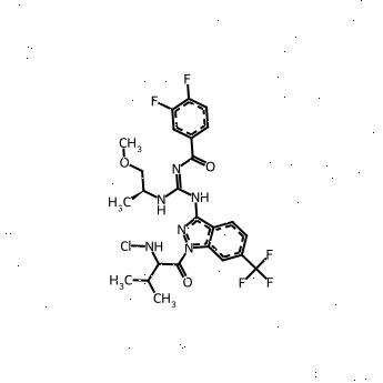 COC[C@H](C)N/C(=N/C(=O)c1ccc(F)c(F)c1)Nc1nn(C(=O)C(NCl)C(C)C)c2cc(C(F)(F)F)ccc12